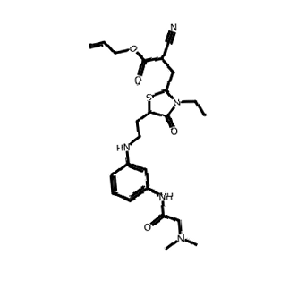 C=CCOC(=O)C(C#N)CC1SC(CCNc2cccc(NC(=O)CN(C)C)c2)C(=O)N1CC